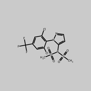 CS(=O)(=O)N(c1ccnn1-c1c(Cl)cc(C(F)(F)F)cc1Cl)S(C)(=O)=O